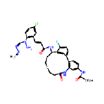 C=N/N=C\N(N)c1ccc(Cl)cc1/C=C/C(=O)NC1CCCCCC(=O)Nc2cc(NC(=O)OC)ccc2-c2ccc(F)c1c2